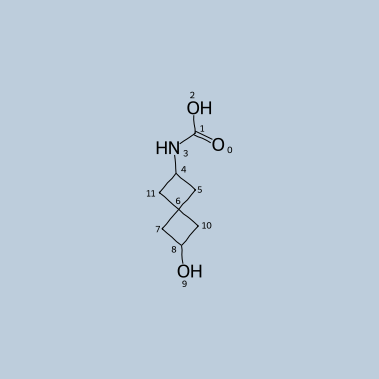 O=C(O)NC1CC2(CC(O)C2)C1